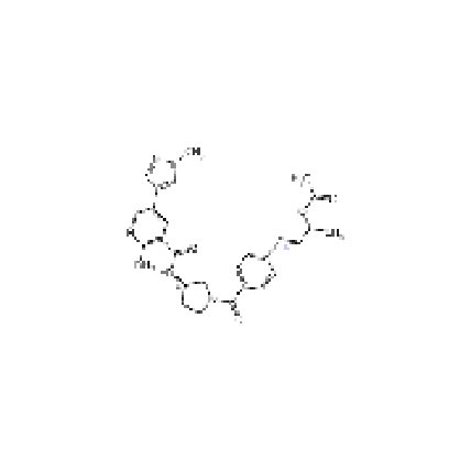 CC(=O)OC(C)/C=C/c1ccc(C(=O)N2CC[C@@H](NC(=O)c3cc(-c4cnn(C)c4)cnc3N)C2)cc1